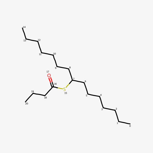 CCCCCCCC(CCCCCCC)SC(=O)CCC